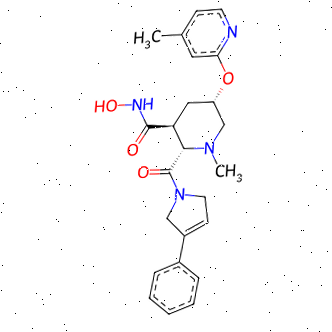 Cc1ccnc(O[C@H]2C[C@H](C(=O)NO)[C@@H](C(=O)N3CC=C(c4ccccc4)C3)N(C)C2)c1